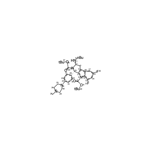 CCCCN[C@H]1Cc2c(n(C(=O)OC(C)(C)C)c3c(F)cc(F)cc23)[C@H](c2ccc(N3CCN(C)CC3)cc2)N1C(=O)OC(C)(C)C